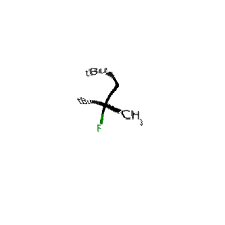 CC(C)(C)CC(C)(F)C(C)(C)C